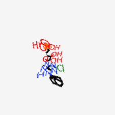 O=P(O)(O)CC[C@H]1O[C@@H](n2cnc3c(NC4C5CC6CC(C5)CC4C6)nc(Cl)nc32)[C@@H](O)C1O